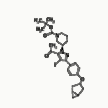 CC(=O)c1c(I)c(-c2ccc(OC3CC4CC4C3)cc2)nn1[C@@H]1CCCN(C(=O)OC(C)(C)C)C1